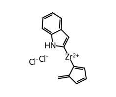 C=C1C=CC=[C]1[Zr+2][c]1cc2ccccc2[nH]1.[Cl-].[Cl-]